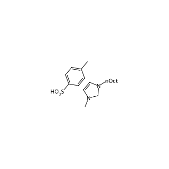 CCCCCCCCN1C=CN(C)C1.Cc1ccc(S(=O)(=O)O)cc1